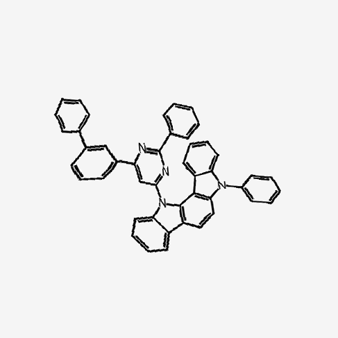 c1ccc(-c2cccc(-c3cc(-n4c5ccccc5c5ccc6c(c7ccccc7n6-c6ccccc6)c54)nc(-c4ccccc4)n3)c2)cc1